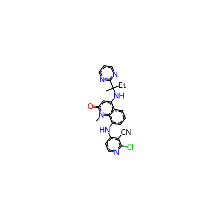 CCC(C)(Nc1cc(=O)n(C)c2c(Nc3ccnc(Cl)c3C#N)cccc12)c1ncccn1